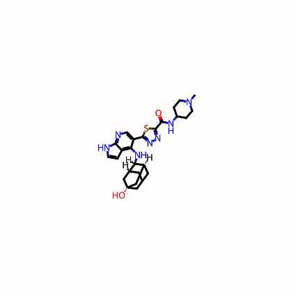 CN1CCC(NC(=O)c2nnc(-c3cnc4[nH]ccc4c3N[C@H]3[C@@H]4CC5C[C@H]3C[C@@](O)(C5)C4)s2)CC1